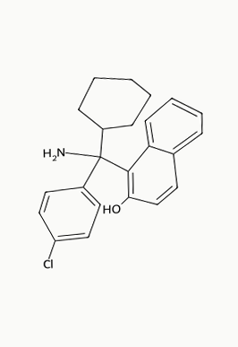 NC(c1ccc(Cl)cc1)(c1c(O)ccc2ccccc12)C1CCCCC1